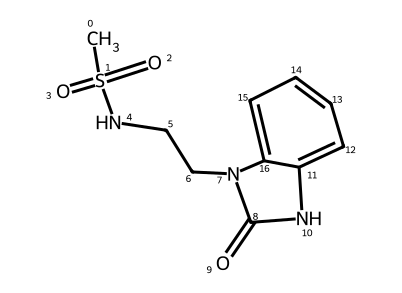 CS(=O)(=O)NCCn1c(=O)[nH]c2ccccc21